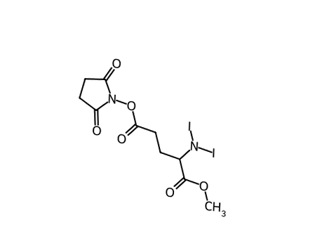 COC(=O)C(CCC(=O)ON1C(=O)CCC1=O)N(I)I